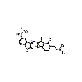 CCN(CC)CCN1CCc2[nH]c(/C=C3\C(=O)Nc4ccc(N[S+](C)[O-])cc43)c(C)c2C1=O